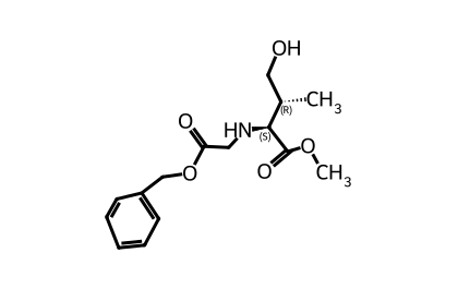 COC(=O)[C@@H](NCC(=O)OCc1ccccc1)[C@@H](C)CO